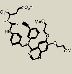 C#Cc1cccc(N(Cc2ccc(NC(=O)NC(CCC(=O)O)C(=O)O)cc2)c2ncnc3cc(OCCOC)c(OCCOC)cc23)c1